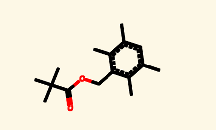 Cc1cc(C)c(C)c(COC(=O)C(C)(C)C)c1C